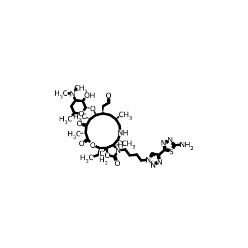 CC[C@H]1OC(=O)[C@H](C)C(=O)[C@H](C)[C@@H](O[C@@H]2OC(C)CC(N(C)C)C2O)[C@@H](CC=O)C[C@@H](C)CN[C@H](C)[C@H]2N(CCCCn3cc(-c4nnc(N)s4)nn3)C(=O)O[C@]12C